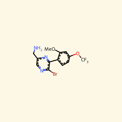 COc1cc(OC(F)(F)F)ccc1-c1nc(CN)cnc1Br